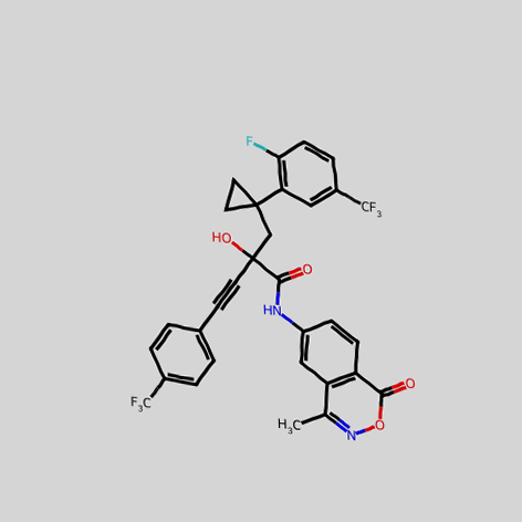 Cc1noc(=O)c2ccc(NC(=O)C(O)(C#Cc3ccc(C(F)(F)F)cc3)CC3(c4cc(C(F)(F)F)ccc4F)CC3)cc12